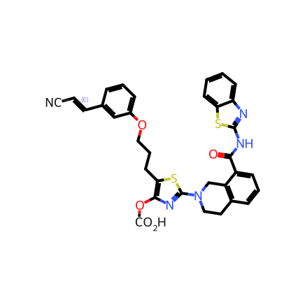 N#C/C=C/c1cccc(OCCCc2sc(N3CCc4cccc(C(=O)Nc5nc6ccccc6s5)c4C3)nc2OC(=O)O)c1